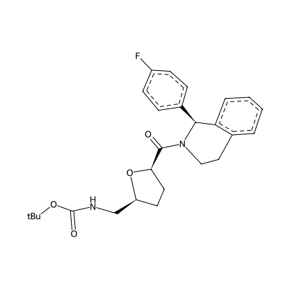 CC(C)(C)OC(=O)NC[C@@H]1CC[C@H](C(=O)N2CCc3ccccc3[C@@H]2c2ccc(F)cc2)O1